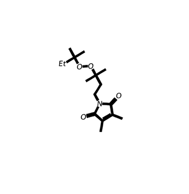 CCC(C)(C)OOC(C)(C)CCN1C(=O)C(C)=C(C)C1=O